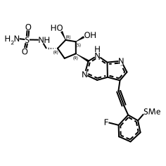 CSc1cccc(F)c1C#Cc1cnc2[nH]c([C@H]3C[C@H](CNS(N)(=O)=O)[C@@H](O)[C@H]3O)ncc1-2